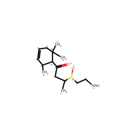 CCCCCCCCCCCC[S+]([O-])C(C)CC(=O)C1C(C)C=CCC1(C)C